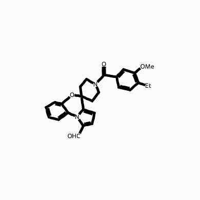 CCc1ccc(C(=O)N2CCC3(CC2)Oc2ccccc2-n2c(C=O)ccc23)cc1OC